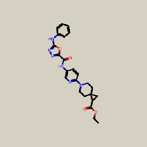 CCOC(=O)C1CC12CCN(c1ccc(NC(=O)c3nnc(Nc4ccccc4)o3)cn1)CC2